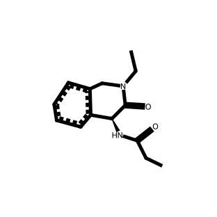 CCC(=O)N[C@@H]1C(=O)N(CC)Cc2ccccc21